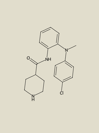 CN(c1ccc(Cl)cc1)c1ccccc1NC(=O)C1CCNCC1